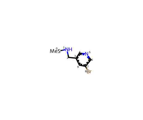 CSNCc1cncc(Br)c1